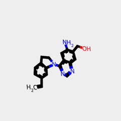 C=Cc1ccc2c(c1)N(c1ncnc3cc(CO)c(N)cc13)CC2